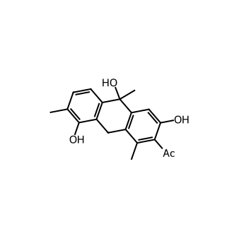 CC(=O)c1c(O)cc2c(c1C)Cc1c(ccc(C)c1O)C2(C)O